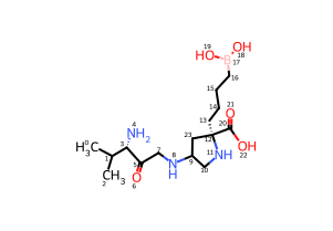 CC(C)[C@H](N)C(=O)CNC1CN[C@](CCCCB(O)O)(C(=O)O)C1